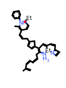 C=C(C)/C=C\C=C/C/C(N)=C(/C=C(/C=C\C1=NC=C1)CC)C1=CC=C(C\C=C/C(/C=C\C(=C)CC)=C(\C)Nc2ccccc2)C1